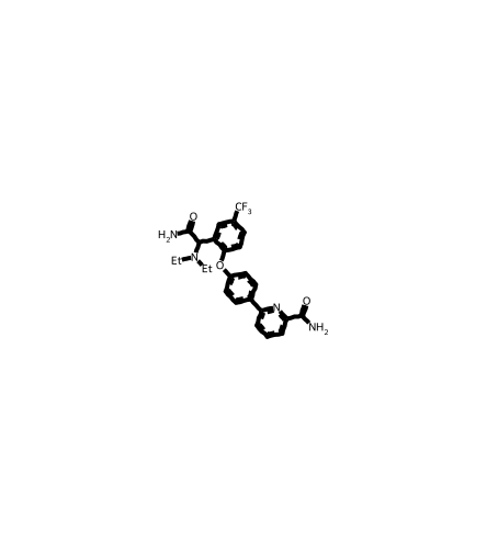 CCN(CC)C(C(N)=O)c1cc(C(F)(F)F)ccc1Oc1ccc(-c2cccc(C(N)=O)n2)cc1